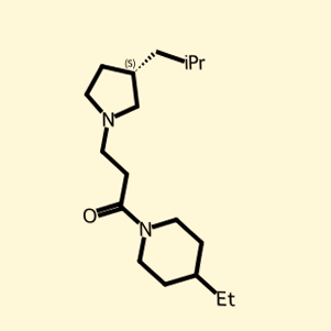 CCC1CCN(C(=O)CCN2CC[C@H](CC(C)C)C2)CC1